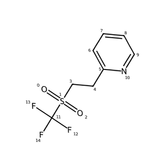 O=S(=O)(CCc1ccccn1)C(F)(F)F